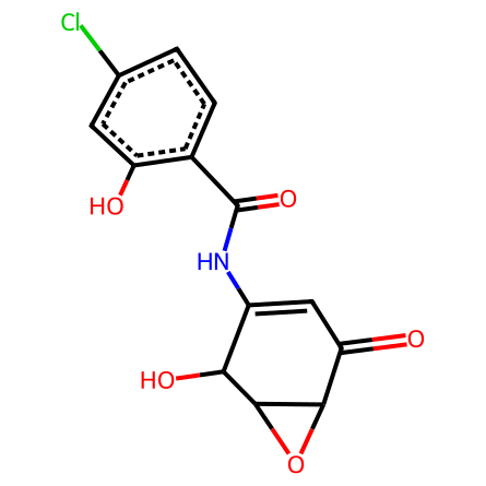 O=C(NC1=CC(=O)C2OC2C1O)c1ccc(Cl)cc1O